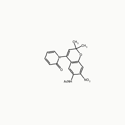 CC(=O)Nc1cc2c(cc1[N+](=O)[O-])OC(C)(C)C=C2n1ccccc1=O